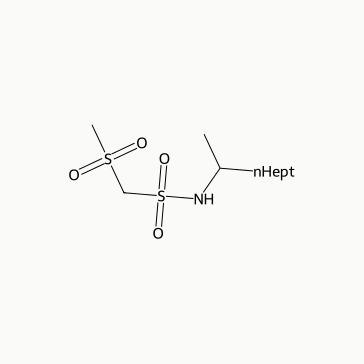 CCCCCCCC(C)NS(=O)(=O)CS(C)(=O)=O